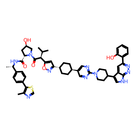 Cc1ncsc1-c1ccc([C@H](C)NC(=O)[C@@H]2C[C@@H](O)CN2C(=O)[C@H](c2cc([C@H]3CC[C@H](c4cnc(N5CCC(c6c[nH]c7nnc(-c8ccccc8O)cc67)CC5)nc4)CC3)no2)C(C)C)cc1